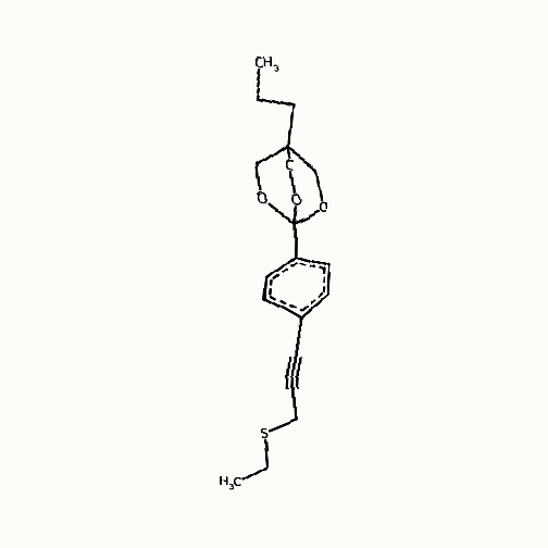 CCCC12COC(c3ccc(C#CCSCC)cc3)(OC1)OC2